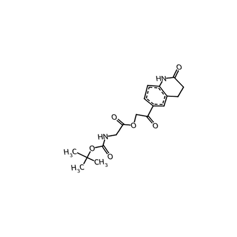 CC(C)(C)OC(=O)NCC(=O)OCC(=O)c1ccc2c(c1)CCC(=O)N2